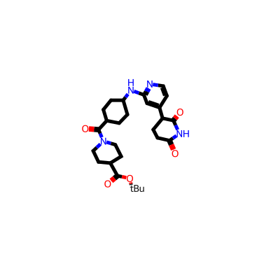 CC(C)(C)OC(=O)C1CCN(C(=O)C2CCC(Nc3cc(C4CCC(=O)NC4=O)ccn3)CC2)CC1